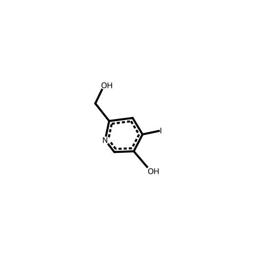 OCc1cc(I)c(O)cn1